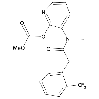 COC(=O)Oc1ncccc1N(C)C(=O)Cc1ccccc1C(F)(F)F